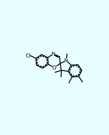 Cc1ccc2c(c1C)C(C)(C)C1(C=Nc3cc(Cl)ccc3O1)N2C